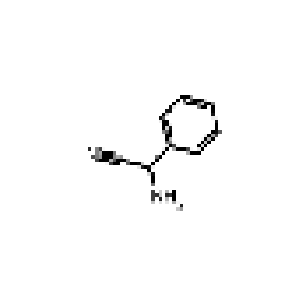 N#C[C](N)c1ccccc1